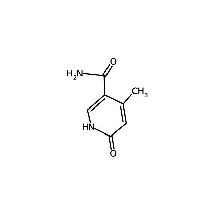 Cc1cc(=O)[nH]cc1C(N)=O